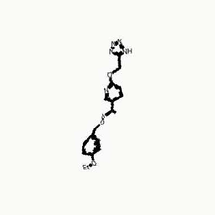 CCOc1ccc(CO/N=C(\C)c2ccc(OCc3nnn[nH]3)nc2)cc1